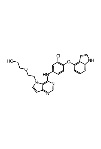 OCCOCCn1ccc2ncnc(Nc3ccc(Oc4cccc5[nH]ccc45)c(Cl)c3)c21